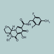 CCN1C(=O)c2c(O)c(=O)c(C(=O)NCc3c(F)cc(C)cc3F)cn2[C@H]2COCC[C@H]21